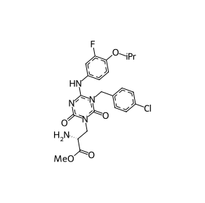 COC(=O)[C@H](N)Cn1c(=O)nc(Nc2ccc(OC(C)C)c(F)c2)n(Cc2ccc(Cl)cc2)c1=O